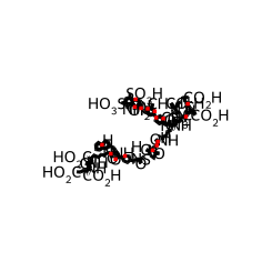 Cc1cc(-c2ccc(NC(=O)[C@@H](CCCCNC(=O)CCN3C(=O)CC(SCC(=O)NCC4CCC(C(=O)NC(Cc5ccc6ccccc6c5)C(=O)NCCCC[C@H](NC(=O)N[C@@H](CCC(=O)O)C(=O)O)C(=O)O)CC4)C3=O)NC(=O)CN3CCN(CC(=O)O)CCN(CC(=O)O)CCN(CC(=O)O)CC3)c(C)c2)ccc1N=Nc1ccc2c(S(=O)(=O)O)cc(S(=O)(=O)O)c(N)c2c1O